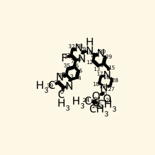 Cc1nc2ccc(-c3nc(Nc4ccc(CN5CCN(C(=O)OC(C)(C)C)CC5)cn4)ncc3F)cc2nc1C